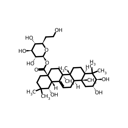 CC1(C)CC[C@]2(C(=O)O[C@@H]3O[C@H](CCO)[C@@H](O)[C@H](O)[C@H]3O)CC[C@]3(C)C(=CC[C@@H]4[C@@]5(C)C[C@@H](O)[C@H](O)C(C)(C)[C@@H]5CC[C@]43C)[C@@H]2[C@@H]1O